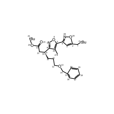 CC(C)(C)Cc1cc(-c2onc([C@@H](CCCOCc3ccccc3)CC(=O)OC(C)(C)C)c2I)no1